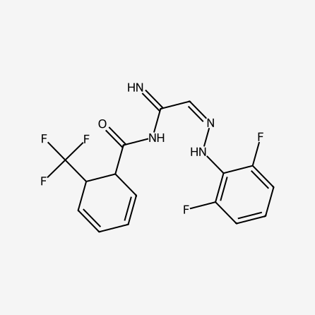 N=C(/C=N\Nc1c(F)cccc1F)NC(=O)C1C=CC=CC1C(F)(F)F